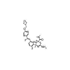 CN(C)C(=O)[C@]12C[C@H]1[C@@](C)(c1cc(/C=C(\F)c3cnc(OCC4COC4)cn3)ccc1F)N=C(N)S2